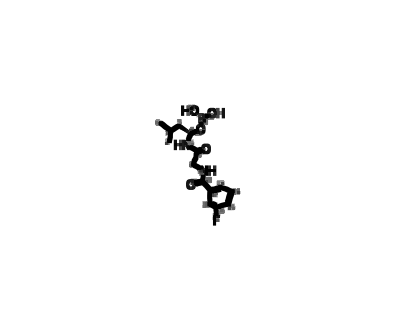 CC(C)C[C@H](NC(=O)CNC(=O)c1cccc(F)c1)OB(O)O